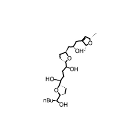 CCCC[C@H](O)[C@H]1CC[C@@H]([C@@H](O)CC[C@H](O)[C@@H]2CC[C@@H](C[C@@H](O)CC3=C[C@H](C)O[C@@H]3C)O2)O1